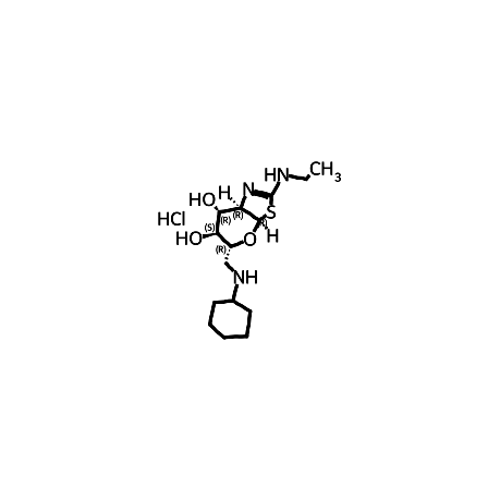 CCNC1=N[C@@H]2[C@@H](O)[C@H](O)[C@@H](CNC3CCCCC3)O[C@@H]2S1.Cl